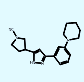 N#CN1CCC(c2cc(-c3cccc(N4CCCCC4)c3)n[nH]2)C1